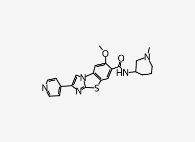 COc1cc2c(cc1C(=O)NC1CCCN(C)C1)sc1nc(-c3ccncc3)cn12